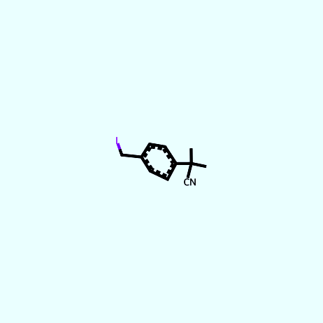 CC(C)(C#N)c1ccc(CI)cc1